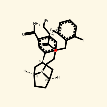 CC(C)C[C@H](O)C(=O)N(CCN1[C@@H]2CC[C@H]1C[C@@H](c1cccc(C(N)=O)c1)C2)Cc1c(F)cccc1F